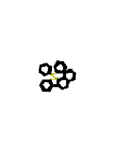 c1ccc(S2(c3ccccc3)c3ccccc3-c3ccc4ccccc4c32)cc1